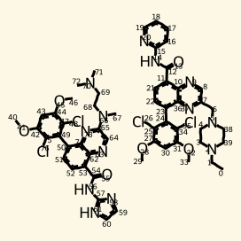 CCN1CCN(Cc2cnc3c(C(=O)Nc4ccccn4)ccc(-c4c(Cl)c(OC)cc(OC)c4Cl)c3n2)CC1.COc1cc(OC)c(Cl)c(-c2ccc(C(=O)Nc3ncc[nH]3)c3ncc(N(C)CCN(C)C)nc23)c1Cl